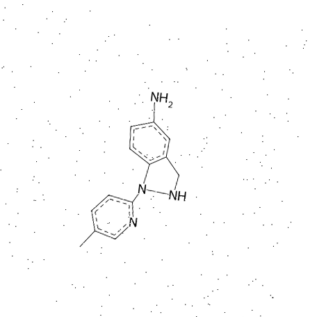 Cc1ccc(N2NCc3cc(N)ccc32)nc1